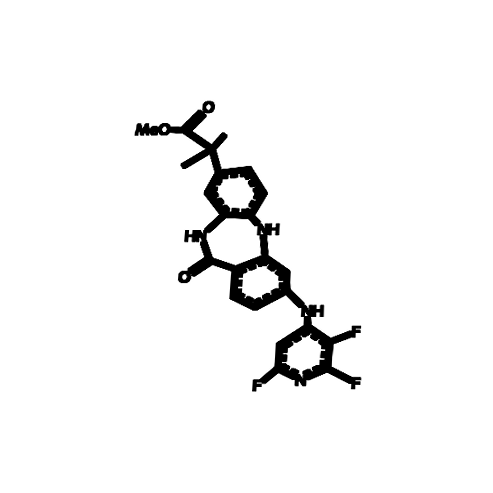 COC(=O)C(C)(C)c1ccc2c(c1)NC(=O)c1ccc(Nc3cc(F)nc(F)c3F)cc1N2